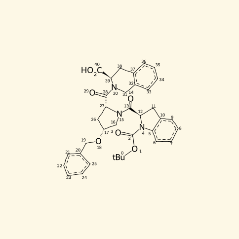 CC(C)(C)OC(=O)N1c2ccccc2C[C@@H]1C(=O)N1C[C@H](OCc2ccccc2)C[C@@H]1C(=O)N1Cc2ccccc2C[C@@H]1C(=O)O